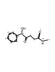 O=C(CCC(=O)N(O)c1ccccc1)NI